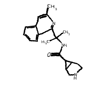 Cc1cc2ccccc2c(C(C)(C)NC(=O)C2C3CNCC32)n1